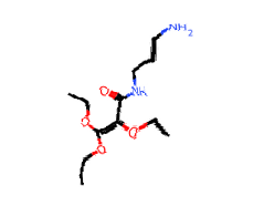 CCOC(OCC)=C(OCC)C(=O)NCCCN